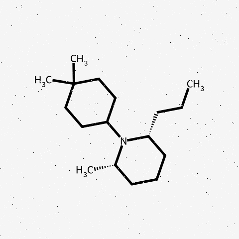 CCC[C@@H]1CCC[C@H](C)N1C1CCC(C)(C)CC1